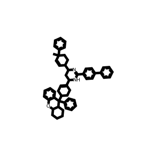 CC1(c2ccccc2)C=CC(C2CC(C3=CCC(C4(c5ccccc5)c5ccccc5OC5CCCCC54)CC3)NC(c3ccc(-c4ccccc4)cc3)=N2)CC1